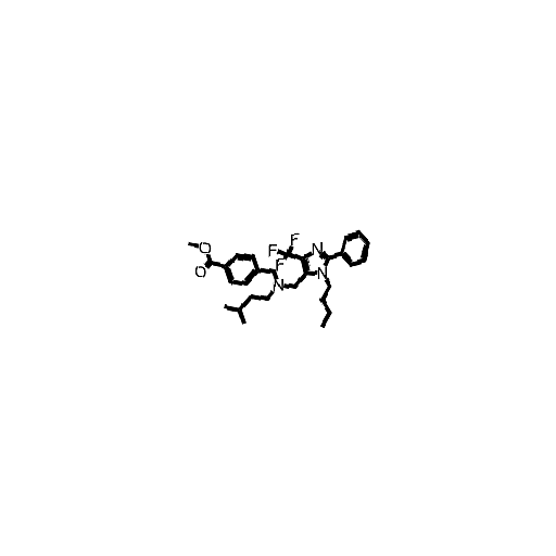 CCCCn1c(-c2ccccc2)nc(C(F)(F)F)c1CN(CCC(C)C)Cc1ccc(C(=O)OC)cc1